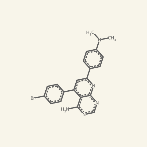 CN(C)c1ccc(-c2cc(-c3ccc(Br)cc3)c3c(N)ncnc3n2)cc1